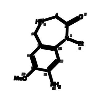 CCN1C(=O)CNCc2cc(OC)c(N)cc21